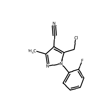 Cc1nn(-c2ccccc2F)c(CCl)c1C#N